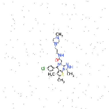 Cc1sc2c(c1C)C(c1ccc(Cl)cc1)=N[C@@H](CC(=O)NCCCN1CCN(C)CC1)C1=NNC(C)N12